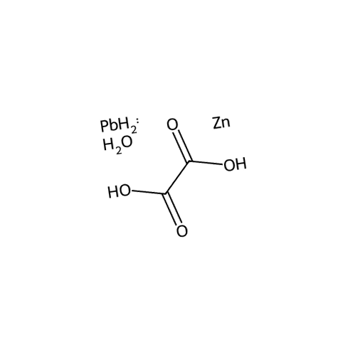 O.O=C(O)C(=O)O.[PbH2].[Zn]